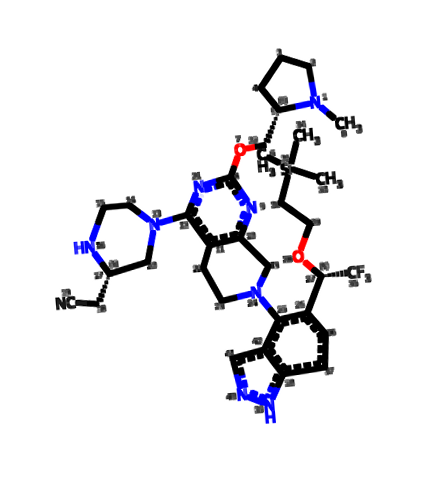 CN1CCC[C@H]1COc1nc2c(c(N3CCN[C@@H](CC#N)C3)n1)CCN(c1c([C@H](OCC[Si](C)(C)C)C(F)(F)F)ccc3[nH]ncc13)C2